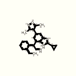 C/C=c1/cccc/c1=C(/C=N)c1cc(-c2c(C)noc2C)cc2nc(C3CC3)[nH]c12